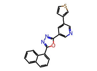 c1ccc2c(-c3nnc(-c4cncc(-c5ccsc5)c4)o3)cccc2c1